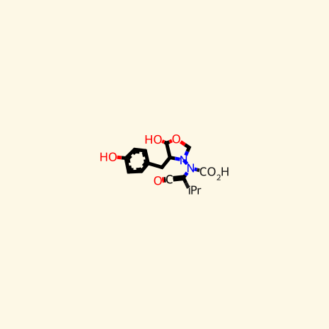 CC(C)C(=C=O)N(C(=O)O)N1COC(O)C1Cc1ccc(O)cc1